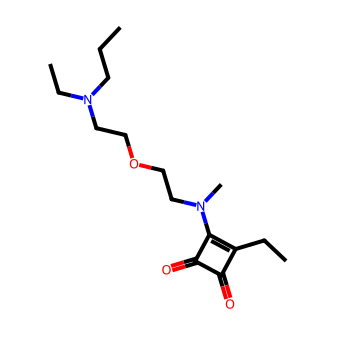 CCCN(CC)CCOCCN(C)c1c(CC)c(=O)c1=O